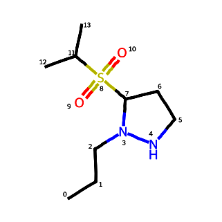 CCCN1NCCC1S(=O)(=O)C(C)C